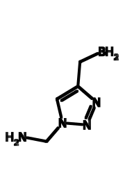 BCc1cn(CN)nn1